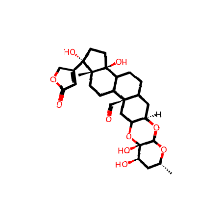 C[C@@H]1C[C@@H](O)[C@]2(O)OC3C[C@@]4(C=O)C(CCC5C4CC[C@]4(C)[C@@](O)(C6=CC(=O)OC6)CC[C@]54O)C[C@H]3OC2O1